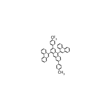 Cc1ccc(-c2ccc3c(-c4cc5ccccc5c5ccccc45)c4cc(-c5ccc(C(F)(F)F)cc5)cc(-c5cc6ccccc6c6ccccc56)c4cc3c2)cc1